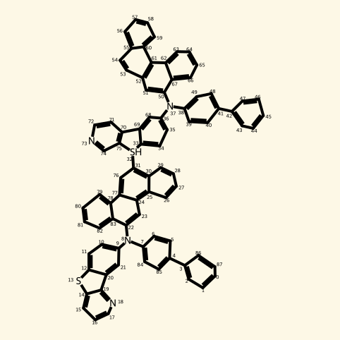 c1ccc(-c2ccc(N(c3ccc4sc5cccnc5c4c3)c3cc4c5ccccc5c([SH]5c6ccc(N(c7ccc(-c8ccccc8)cc7)c7cc8ccc9ccccc9c8c8ccccc78)cc6-c6ccncc65)cc4c4ccccc34)cc2)cc1